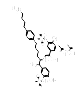 CC(=O)O.CC(=O)O.CS(=O)(=O)Nc1cc([C@@H](O)C(CCCCc2ccc(CCCCN)cc2)NC[C@H](O)c2ccc(O)c(NS(C)(=O)=O)c2)ccc1O